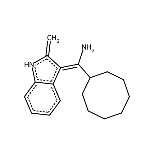 C=c1[nH]c2ccccc2/c1=C(/N)C1CCCCCCC1